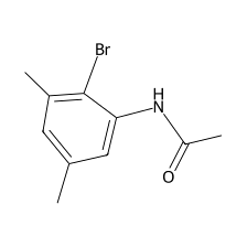 CC(=O)Nc1cc(C)cc(C)c1Br